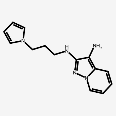 Nc1c(NCCCn2cccc2)nn2ccccc12